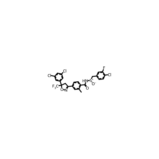 Cc1cc(C2=NOC(c3cc(Cl)cc(Cl)c3)(C(F)(F)F)C2)ccc1C(=O)N[S+]([O-])Cc1ccc(Cl)c(F)c1